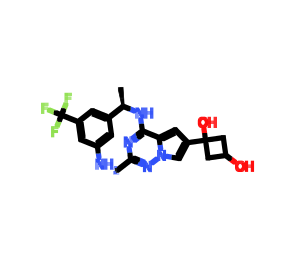 Cc1nc(N[C@H](C)c2cc(N)cc(C(F)(F)F)c2)c2cc(C3(O)CC(O)C3)cn2n1